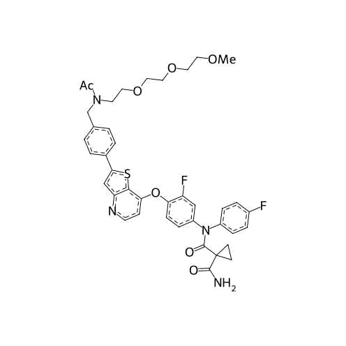 COCCOCCOCCN(Cc1ccc(-c2cc3nccc(Oc4ccc(N(C(=O)C5(C(N)=O)CC5)c5ccc(F)cc5)cc4F)c3s2)cc1)C(C)=O